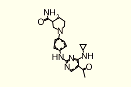 CC(=O)c1cnc(Nc2ccc(N3CCCC(C(N)=O)C3)cc2)nc1NC1CC1